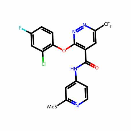 CSc1cc(NC(=O)c2cc(C(F)(F)F)nnc2Oc2ccc(F)cc2Cl)ccn1